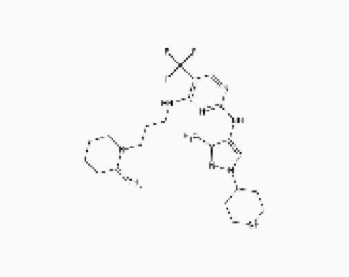 C=C1CCCCN1CCCNc1nc(Nc2cn(C3CCNCC3)nc2C)ncc1C(F)(F)F